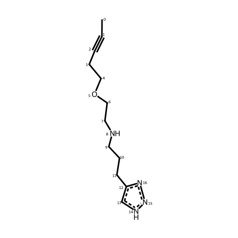 CC#CCCOCCNCCCc1c[nH]nn1